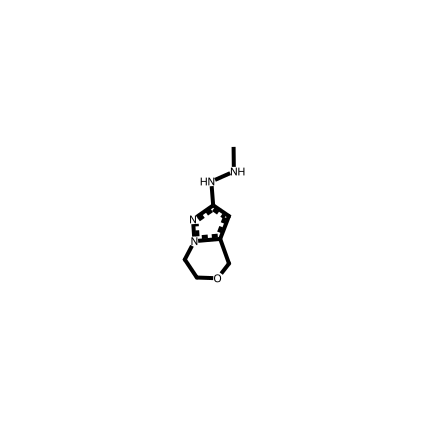 CNNc1cc2n(n1)CCOC2